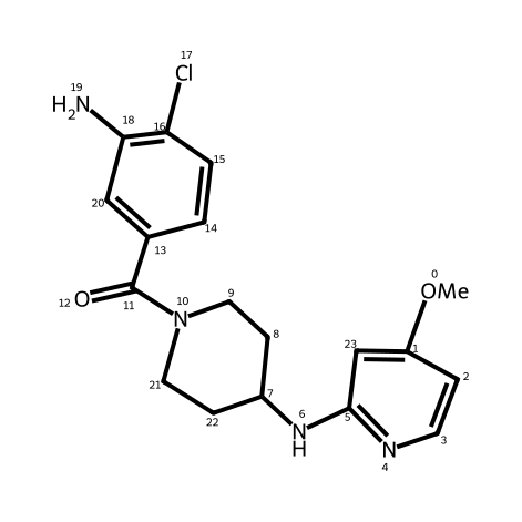 COc1ccnc(NC2CCN(C(=O)c3ccc(Cl)c(N)c3)CC2)c1